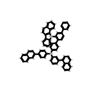 c1ccc(-c2ccc(-c3ccc(N(c4ccc(-c5ccc6ccccc6c5)cc4)c4cccc(-c5cccc6ccccc56)c4)cc3)c(-n3c4ccccc4c4ccc5ccccc5c43)c2)cc1